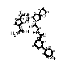 C[C@@H](NC(=O)[C@@H]1CC2(CN1C(=O)CNC(=O)c1cccc(-c3ccc(F)cc3)c1)OCCO2)c1cc(C(=N)N)cs1